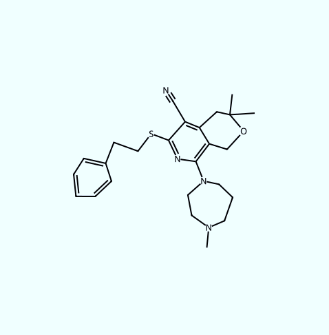 CN1CCCN(c2nc(SCCc3ccccc3)c(C#N)c3c2COC(C)(C)C3)CC1